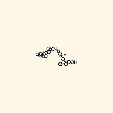 O=C1CC[C@H](N2Cc3c(ccc4c3OCC43CCN(CC4CC5(CCN(c6ccc([C@@H]7c8ccc(O)cc8CC[C@@H]7c7ccccc7)cc6F)CC5)C4)CC3)C2=O)C(=O)N1